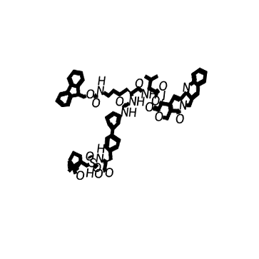 CC(C)[C@H](NC(=O)[C@H](CCCCNC(=O)OCC1c2ccccc2-c2ccccc21)NC(=O)Nc1cccc(-c2ccc(C[C@H](NS(=O)(=O)CC34CCC(CC3=O)C4(C)C)C(=O)O)cc2)c1)C(=O)O[C@]1(I)C(=O)OCc2c1cc1n(c2=O)Cc2cc3ccccc3nc2-1